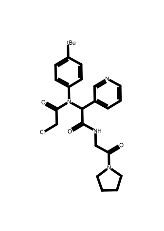 CC(C)(C)c1ccc(N(C(=O)CCl)C(C(=O)NCC(=O)N2CCCC2)c2cccnc2)cc1